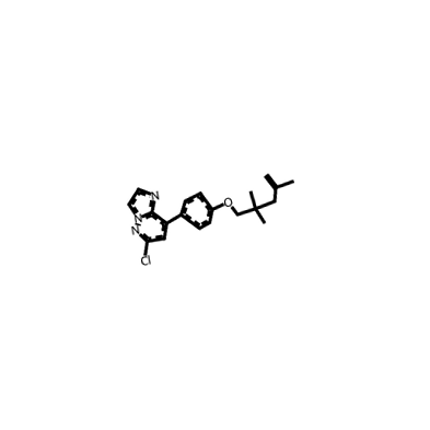 C=C(C)CC(C)(C)COc1ccc(-c2cc(Cl)nn3ccnc23)cc1